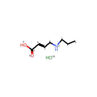 CCCNC/C=C/C(=O)O.Cl